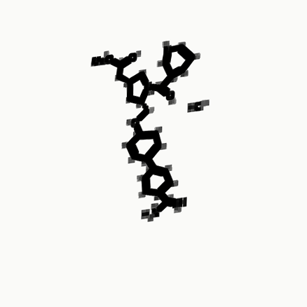 COC(=O)C[C@@H]1C[C@@H](COc2ccc(-c3ccc(C(=N)N)cc3)cc2)N(C(=O)c2cccnc2)C1.Cl